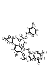 COc1ccc(-c2oc(=O)oc2COP(=O)(COCCn2cnc3c(=O)[nH]c(N)nc32)OCc2cccc(F)c2)cc1F